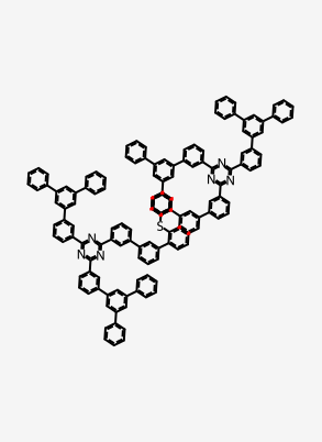 c1ccc(-c2cc(-c3ccccc3)cc(-c3cccc(-c4nc(-c5cccc(-c6cc(-c7ccccc7)cc(-c7ccccc7)c6)c5)nc(-c5cccc(-c6cccc(-c7ccccc7Sc7ccccc7-c7cccc(-c8cccc(-c9nc(-c%10cccc(-c%11cc(-c%12ccccc%12)cc(-c%12ccccc%12)c%11)c%10)nc(-c%10cccc(-c%11cc(-c%12ccccc%12)cc(-c%12ccccc%12)c%11)c%10)n9)c8)c7)c6)c5)n4)c3)c2)cc1